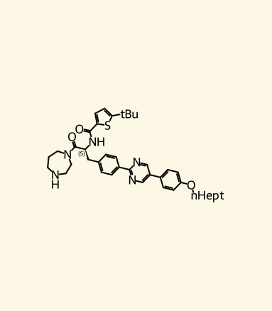 CCCCCCCOc1ccc(-c2cnc(-c3ccc(C[C@H](NC(=O)c4ccc(C(C)(C)C)s4)C(=O)N4CCCNCC4)cc3)nc2)cc1